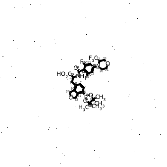 CC1(C)OB(c2ccc(CC(NC(=O)c3c(F)cc(N4CCOC[C@@H]4C(F)(F)F)cc3F)C(=O)O)c3c2COC3)OC1(C)C